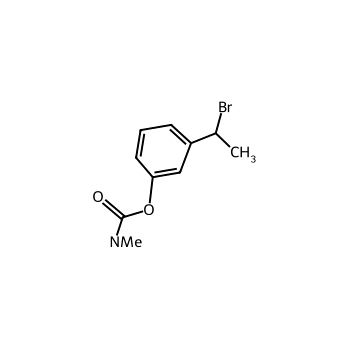 CNC(=O)Oc1cccc(C(C)Br)c1